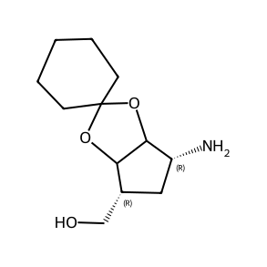 N[C@@H]1C[C@H](CO)C2OC3(CCCCC3)OC21